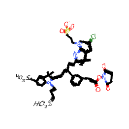 CC1(C)C(/C=C/C(=C/C=C2/N(CCCS(=O)(=O)O)c3ccc(S(=O)(=O)O)cc3C2(C)C)c2cccc(CCC(=O)ON3C(=O)CCC3=O)c2)=Nc2c1cc(Cl)c[n+]2CCCS(=O)(=O)[O-]